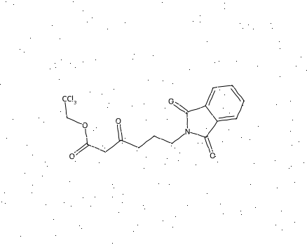 O=C(CCCN1C(=O)c2ccccc2C1=O)CC(=O)OCC(Cl)(Cl)Cl